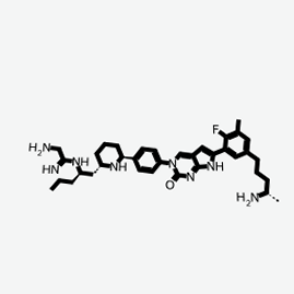 CCC[C@H](C[C@@H]1CCC[C@@H](c2ccc(-n3cc4cc(-c5cc(CCC[C@H](C)N)cc(C)c5F)[nH]c4nc3=O)cc2)N1)NC(=N)CN